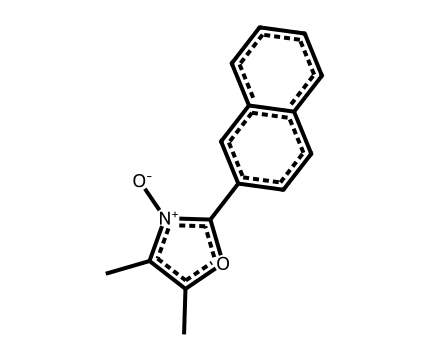 Cc1oc(-c2ccc3ccccc3c2)[n+]([O-])c1C